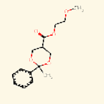 COCCOC(=O)C1COC(C)(c2ccccc2)OC1